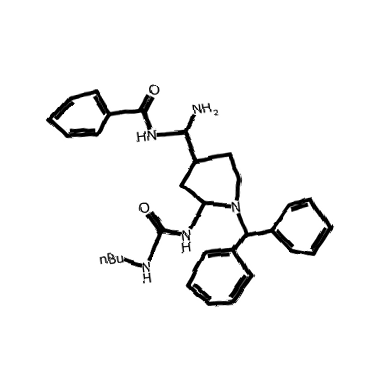 CCCCNC(=O)NC1CC(C(N)NC(=O)c2ccccc2)CCN1C(c1ccccc1)c1ccccc1